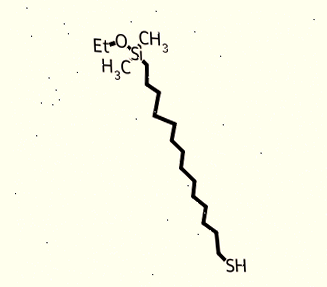 CCO[Si](C)(C)CCCCCCCCCCCCCCS